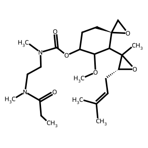 CCC(=O)N(C)CCN(C)C(=O)OC1CC[C@]2(CO2)C(C2(C)O[C@@H]2CC=C(C)C)C1OC